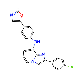 Cc1ncc(-c2ccc(Nc3cccn4cc(-c5ccc(F)cc5)nc34)cc2)o1